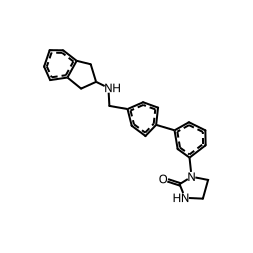 O=C1NCCN1c1cccc(-c2ccc(CNC3Cc4ccccc4C3)cc2)c1